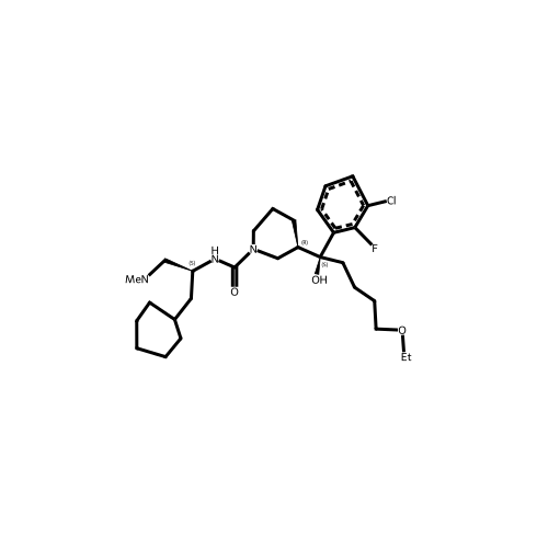 CCOCCCC[C@@](O)(c1cccc(Cl)c1F)[C@@H]1CCCN(C(=O)N[C@H](CNC)CC2CCCCC2)C1